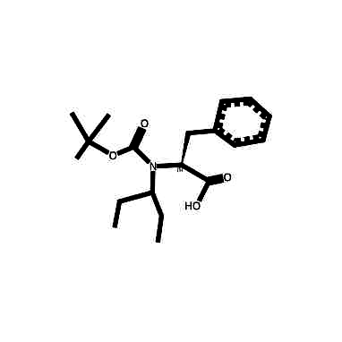 CCC(CC)N(C(=O)OC(C)(C)C)[C@@H](Cc1ccccc1)C(=O)O